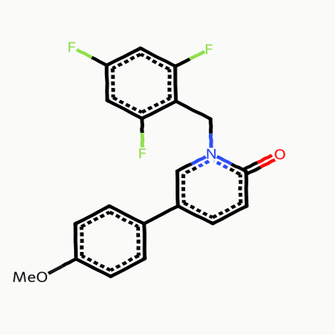 COc1ccc(-c2ccc(=O)n(Cc3c(F)cc(F)cc3F)c2)cc1